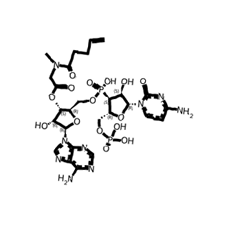 C=CCCC(=O)N(C)CC(=O)O[C@H]1[C@@H](O)[C@H](n2cnc3c(N)ncnc32)O[C@@H]1COP(=O)(O)[C@H]1[C@@H](O)[C@H](n2ccc(N)nc2=O)O[C@@H]1COP(=O)(O)O